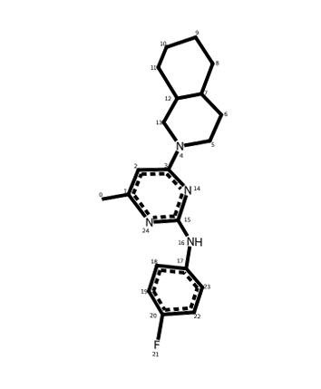 Cc1cc(N2CCC3CCCCC3C2)nc(Nc2ccc(F)cc2)n1